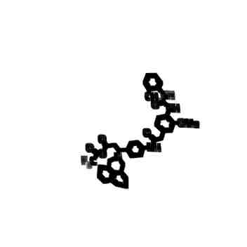 COc1cc(CC(=O)Nc2ccc(C(CC(=O)OC(=O)C(F)(F)F)N(Cc3ccccc3)Cc3ccccc3)cc2)ccc1NC(=O)Nc1ccccc1C